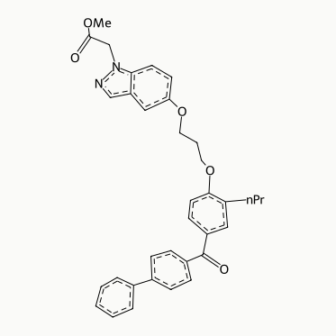 CCCc1cc(C(=O)c2ccc(-c3ccccc3)cc2)ccc1OCCCOc1ccc2c(cnn2CC(=O)OC)c1